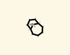 C1CCC2CCCC(C1)N2